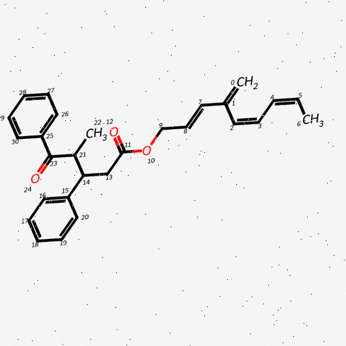 C=C(/C=C\C=C/C)/C=C/COC(=O)CC(c1ccccc1)C(C)C(=O)c1ccccc1